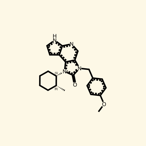 COc1ccc(Cn2c(=O)n([C@H]3CCCC[C@H]3C)c3c4cc[nH]c4ncc32)cc1